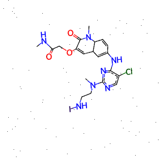 CNC(=O)COC1=CC2C=C(Nc3nc(N(C)CCNI)ncc3Cl)C=CC2N(C)C1=O